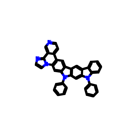 c1ccc(-n2c3ccccc3c3cc4c5cc6c7ccncc7c7nccn7c6cc5n(-c5ccccc5)c4cc32)cc1